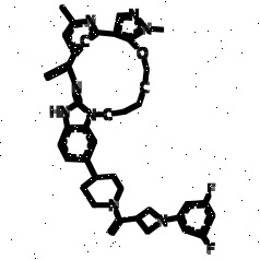 C=C1/N=C2\Nc3ccc(C4CCN(C(=C)C5CN(c6cc(F)cc(F)c6)C5)CC4)cc3N2CCCCCOc2c(cnn2C)-c2cc1cc(C)n2